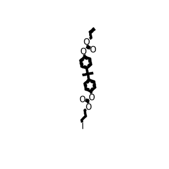 C=CCOC(=O)Oc1ccc(C(C)(C)c2ccc(OC(=O)OCCCI)cc2)cc1